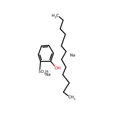 CCCCCCCCCCCC.O=S(=O)(O)c1ccccc1O.[Na].[Na]